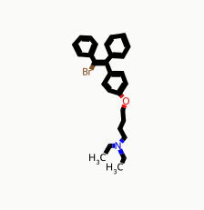 CCN(CC)CCCCOc1ccc(C(=C(Br)c2ccccc2)c2ccccc2)cc1